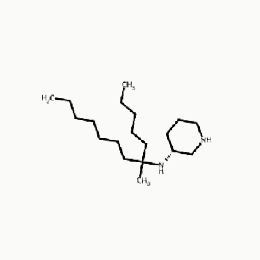 CCCCCCCC(C)(CCCCC)N[C@@H]1CCCNC1